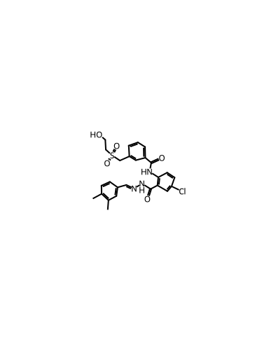 Cc1ccc(C=NNC(=O)c2cc(Cl)ccc2NC(=O)c2cccc(CS(=O)(=O)CCO)c2)cc1C